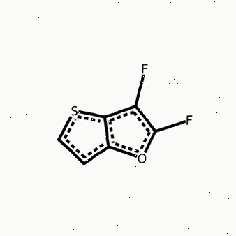 Fc1oc2ccsc2c1F